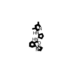 Cc1cnc(N[C@H]2CCC[C@@H]2NC(=O)c2ccccc2-n2nccn2)c(C)c1